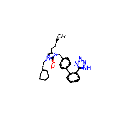 C#CCCc1cn(CC2CCCCC2)c(=O)n1Cc1ccc(-c2ccccc2-c2nnn[nH]2)cc1